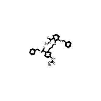 CC(C)(C)OC(=O)Nc1ccc(C(=O)OCc2ccccc2)c(CCCOc2c(OCc3ccccc3)cccc2C(=O)OC(C)(C)C)c1